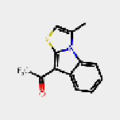 Cc1csc2c(C(=O)C(F)(F)F)c3ccccc3n12